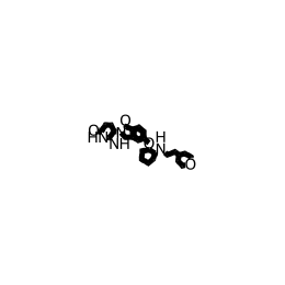 N=C1NC(=O)CCC1N1Cc2cc(OC3CCCCC3NCCC3CCOCC3)ccc2C1=O